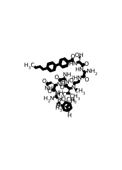 CCCCc1ccc(-c2ccc(C(=O)N[C@H](CO)C(=O)N[C@H](N)C(=O)NCC(=O)N(C)[C@H](C(=O)N[C@@H](N)C(=O)N[C@@H](CC(N)=O)C(=O)N[C@@H](N)B3OC4C[C@@H]5C[C@@H](C5(C)C)[C@]4(C)O3)C(C)C)cc2)cc1